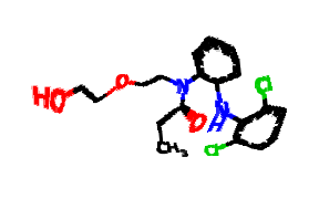 CCC(=O)N(CCOCCO)c1ccccc1Nc1c(Cl)cccc1Cl